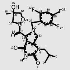 CC(C)Cn1c(=O)n(C)c(=O)c2c(C(=O)N3C[C@](C)(O)CO3)n(Cc3cc(F)c(F)cc3F)cc21